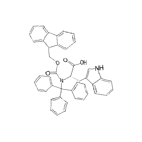 O=C(O)[C@H](Cc1c[nH]c2ccccc12)N(C(=O)OCC1c2ccccc2-c2ccccc21)C(c1ccccc1)(c1ccccc1)c1ccccc1